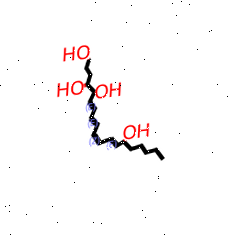 CCCCCC(O)/C=C/C=C\C=C\C=C\C(O)C(O)CCCO